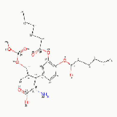 CCCCCC(=O)Oc1ccc(C(C(C)COC(=O)OC)[C@H](N)C(=O)O)cc1OC(=O)CCCCC